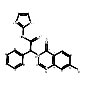 O=C(Nc1nccs1)C(c1ccccc1)n1cnc2cc(Br)ccc2c1=O